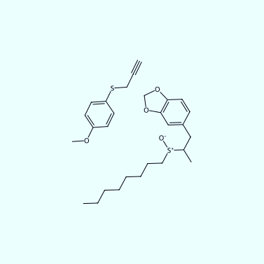 C#CCSc1ccc(OC)cc1.CCCCCCCC[S+]([O-])C(C)Cc1ccc2c(c1)OCO2